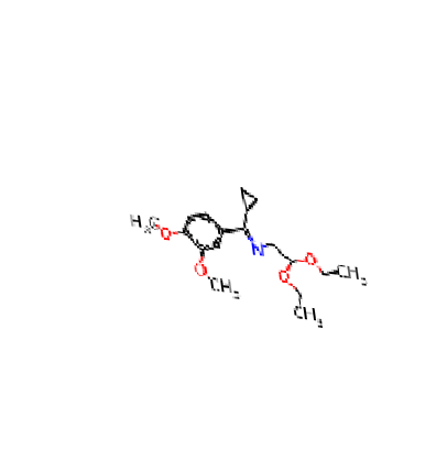 CCOC(C/N=C(/c1ccc(OC)c(OC)c1)C1CC1)OCC